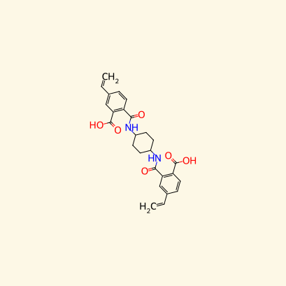 C=Cc1ccc(C(=O)NC2CCC(NC(=O)c3cc(C=C)ccc3C(=O)O)CC2)c(C(=O)O)c1